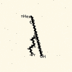 CCCCCC/C=C\COC(=O)CCCCCCCOCC(COCCOCCOCCOCCO)OCCC(C)CCC[C@H](C)CCC[C@H](C)CCCC(C)C